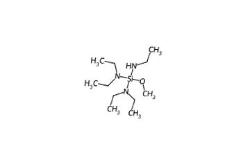 CCN[Si](OC)(N(CC)CC)N(CC)CC